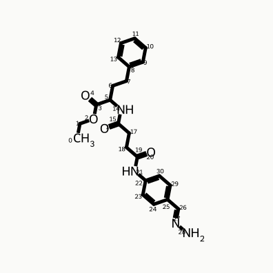 CCOC(=O)C(CCc1ccccc1)NC(=O)CCC(=O)Nc1ccc(C=NN)cc1